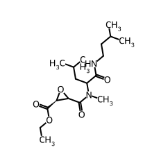 CCOC(=O)[C@H]1OC1C(=O)N(C)C(CC(C)C)C(=O)NCCC(C)C